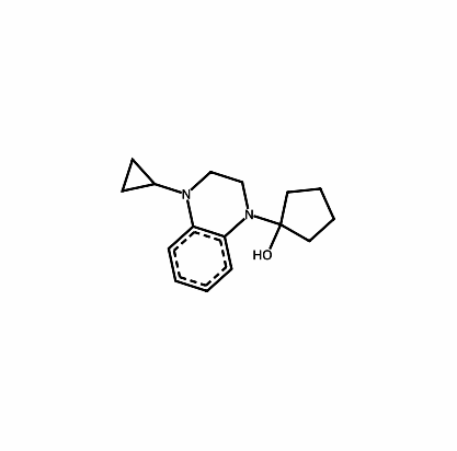 OC1(N2CCN(C3CC3)c3ccccc32)CCCC1